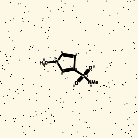 CNS(=O)(=O)c1ccn(C)c1